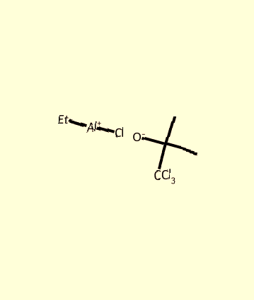 CC(C)([O-])C(Cl)(Cl)Cl.C[CH2][Al+][Cl]